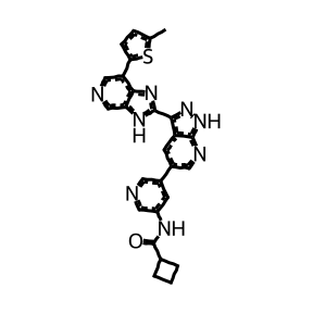 Cc1ccc(-c2cncc3[nH]c(-c4n[nH]c5ncc(-c6cncc(NC(=O)C7CCC7)c6)cc45)nc23)s1